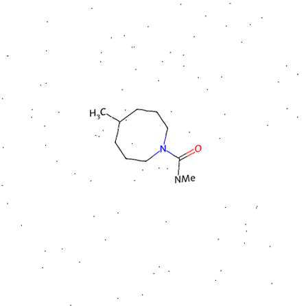 CNC(=O)N1CCCC(C)CCC1